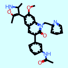 COc1cc2c(cc1C1=C(C)ONC1C)cc(-c1cccc(NC(C)=O)c1)c(=O)n2Cc1ccccn1